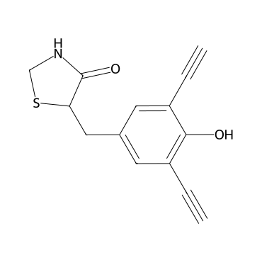 C#Cc1cc(CC2SCNC2=O)cc(C#C)c1O